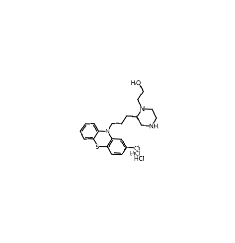 Cl.Cl.OCCN1CCNCC1CCCN1c2ccccc2Sc2ccc(Cl)cc21